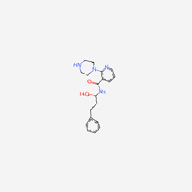 O=C(NC(O)CCc1ccccc1)c1cccnc1N1CCNCC1